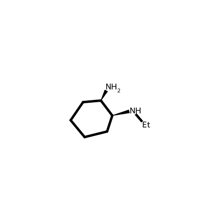 CCN[C@H]1CCCC[C@H]1N